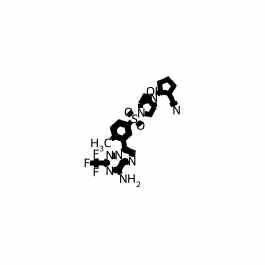 Cc1ccc(S(=O)(=O)N2CC3C(O)C2CN3C2CCCC2C#N)cc1-c1cnc2c(N)nc(C(F)(F)F)nn12